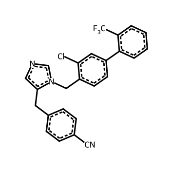 N#Cc1ccc(Cc2cncn2Cc2ccc(-c3ccccc3C(F)(F)F)cc2Cl)cc1